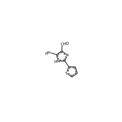 CCCc1[nH]c(-c2cccs2)nc1C=O